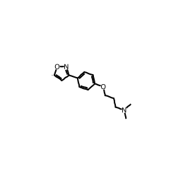 CN(C)CCCOc1ccc(-c2c[c]on2)cc1